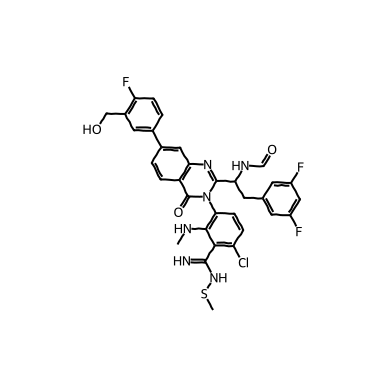 CNc1c(-n2c(C(Cc3cc(F)cc(F)c3)NC=O)nc3cc(-c4ccc(F)c(CO)c4)ccc3c2=O)ccc(Cl)c1C(=N)NSC